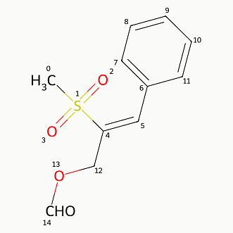 CS(=O)(=O)C(=Cc1ccccc1)COC=O